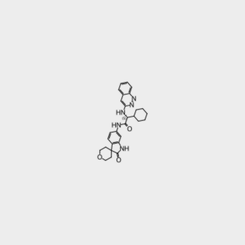 O=C(Nc1ccc2c(c1)NC(=O)C21CCOCC1)[C@@H](Nc1cc2ccccc2nn1)C1CCCCC1